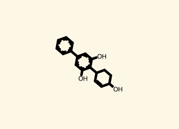 Oc1cc(-c2ccccc2)cc(O)c1C1C=CC(O)CC1